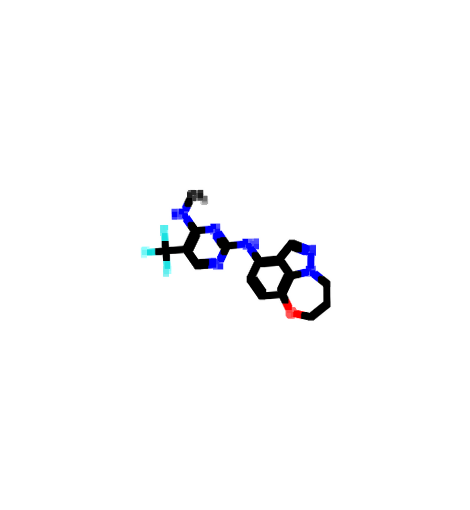 CNc1nc(Nc2ccc3c4c2cnn4CCCO3)ncc1C(F)(F)F